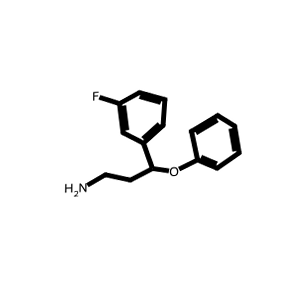 NCCC(Oc1ccccc1)c1cccc(F)c1